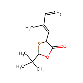 C=C/C(C)=C/C1SC(C(C)(C)C)OC1=O